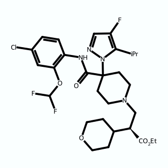 CCOC(=O)[C@H](CN1CCC(C(=O)Nc2ccc(Cl)cc2OC(F)F)(n2ncc(F)c2C(C)C)CC1)C1CCOCC1